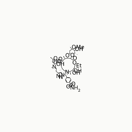 CC[C@H]1OC(=O)[C@H](C)[C@@H](O[C@H]2C[C@@](C)(OC)[C@@H](O)[C@H](C)O2)[C@H](C)[C@@H](O[C@@H]2O[C@H](C)C[C@H](N(C)CCc3cn(Cc4ccc(S(N)(=O)=O)cc4)nn3)[C@H]2O)[C@](C)(O)C[C@@H](C)CN(C)[C@H](C)[C@@H](O)[C@]1(C)O